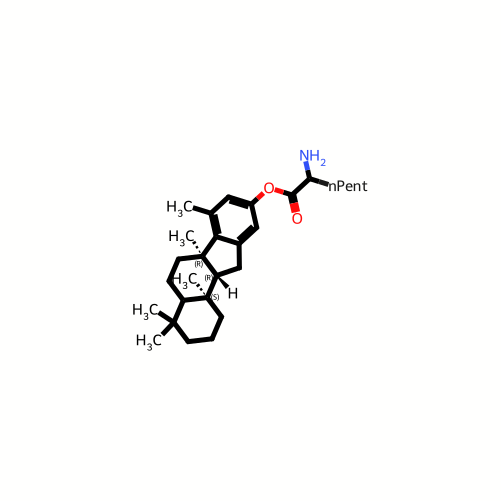 CCCCCC(N)C(=O)Oc1cc(C)c2c(c1)C[C@H]1[C@@]2(C)CCC2C(C)(C)CCC[C@@]21C